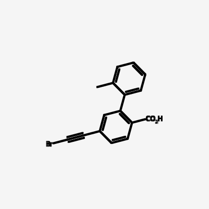 Cc1ccccc1-c1cc(C#CBr)ccc1C(=O)O